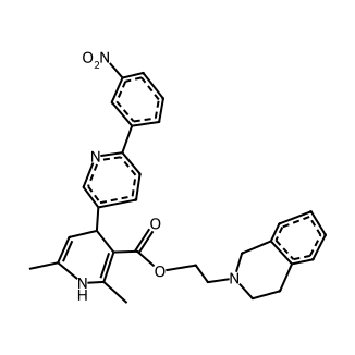 CC1=CC(c2ccc(-c3cccc([N+](=O)[O-])c3)nc2)C(C(=O)OCCN2CCc3ccccc3C2)=C(C)N1